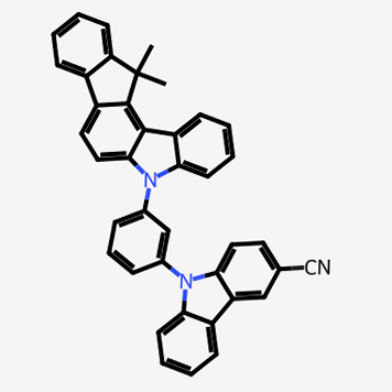 CC1(C)c2ccccc2-c2ccc3c(c21)c1ccccc1n3-c1cccc(-n2c3ccccc3c3cc(C#N)ccc32)c1